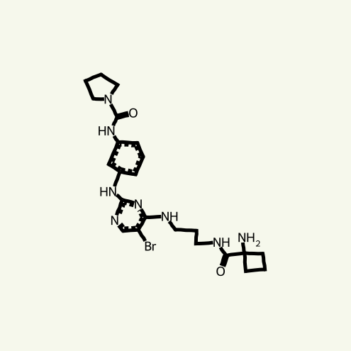 NC1(C(=O)NCCCNc2nc(Nc3cccc(NC(=O)N4CCCC4)c3)ncc2Br)CCC1